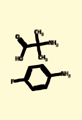 CC(C)(N)C(=O)O.Nc1ccc(F)cc1